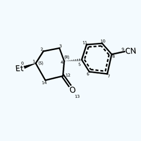 CC[C@H]1CC[C@H](c2ccc(C#N)cc2)C(=O)C1